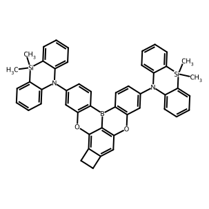 C[Si]1(C)c2ccccc2N(c2ccc3c(c2)Oc2cc4c(c5c2B3c2ccc(N3c6ccccc6[Si](C)(C)c6ccccc63)cc2O5)CC4)c2ccccc21